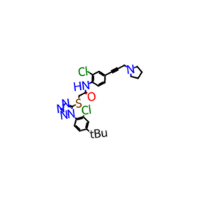 CC(C)(C)c1ccc(-n2nnnc2SCC(=O)Nc2ccc(C#CCN3CCCC3)cc2Cl)c(Cl)c1